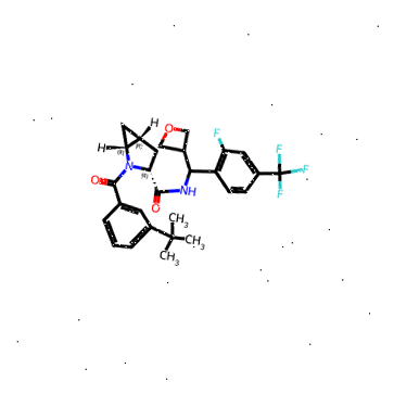 CC(C)(C)c1cccc(C(=O)N2[C@@H](C(=O)NC(c3ccc(C(F)(F)F)cc3F)C3COC3)C[C@H]3C[C@H]32)c1